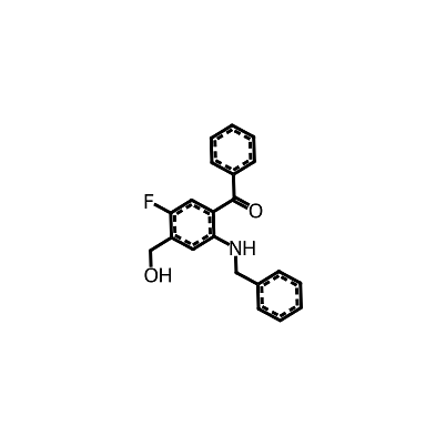 O=C(c1ccccc1)c1cc(F)c(CO)cc1NCc1ccccc1